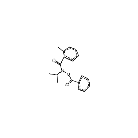 Cc1ccccc1C(=O)N(OC(=O)c1ccccc1)C(C)C